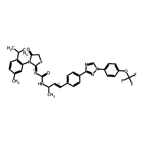 Cc1ccc(C(C)C)c(N2C(=O)CS/C2=N\C(=O)NC(C)/C=C/c2ccc(-c3ncn(-c4ccc(OC(F)(F)F)cc4)n3)cc2)c1